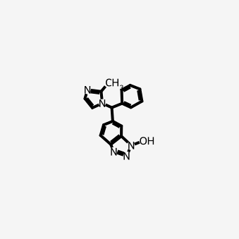 Cc1nccn1C(c1ccccc1)c1ccc2nnn(O)c2c1